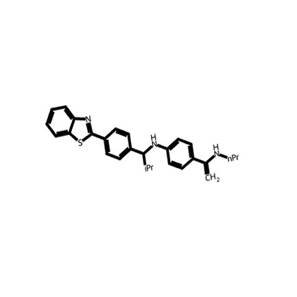 C=C(NCCC)c1ccc(NC(c2ccc(-c3nc4ccccc4s3)cc2)C(C)C)cc1